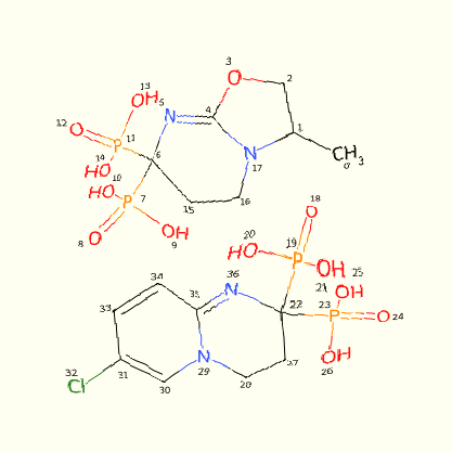 CC1COC2=NC(P(=O)(O)O)(P(=O)(O)O)CCN21.O=P(O)(O)C1(P(=O)(O)O)CCN2C=C(Cl)C=CC2=N1